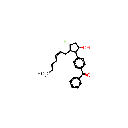 O=C(O)CCC/C=C\CC1C(c2ccc(C(=O)c3ccccc3)cc2)[C@H](O)C[C@H]1F